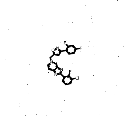 Fc1ccc(-c2cc(Cn3ccc4nc(-c5cccc(Cl)c5F)nc-4c3)on2)c(F)c1